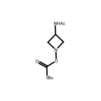 CC(=O)NC1CN(OC(=O)C(C)(C)C)C1